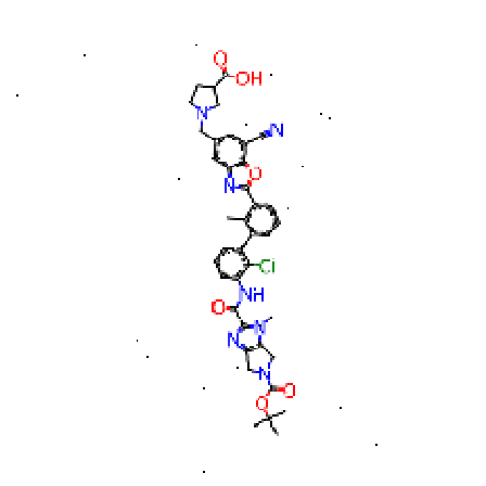 Cc1c(-c2nc3cc(CN4CCC(C(=O)O)C4)cc(C#N)c3o2)cccc1-c1cccc(NC(=O)c2nc3c(n2C)CN(C(=O)OC(C)(C)C)C3)c1Cl